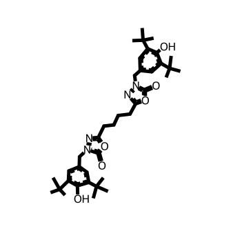 CC(C)(C)c1cc(Cn2nc(CCCCc3nn(Cc4cc(C(C)(C)C)c(O)c(C(C)(C)C)c4)c(=O)o3)oc2=O)cc(C(C)(C)C)c1O